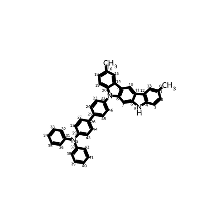 Cc1ccc2[nH]c3cc4c(cc3c2c1)c1cc(C)ccc1n4-c1ccc(-c2ccc(N(c3ccccc3)c3ccccc3)cc2)cc1